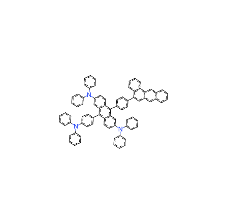 c1ccc(N(c2ccccc2)c2ccc(-c3c4ccc(N(c5ccccc5)c5ccccc5)cc4c(-c4ccc(-c5cc6cc7ccccc7cc6c6ccccc56)cc4)c4ccc(N(c5ccccc5)c5ccccc5)cc34)cc2)cc1